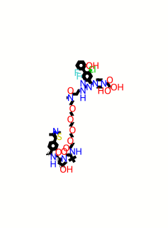 Cc1ncsc1-c1ccc([C@H](C)NC(=O)[C@@H]2C[C@@H](O)CN2C(=O)[C@@H](NC(=O)COCCOCCOCCOCCN(C)C(=O)CCNc2nc(N3CCN(C(=O)C(O)O)CC3)c3cc(Cl)c(-c4c(O)cccc4F)c(F)c3n2)C(C)(C)C)cc1